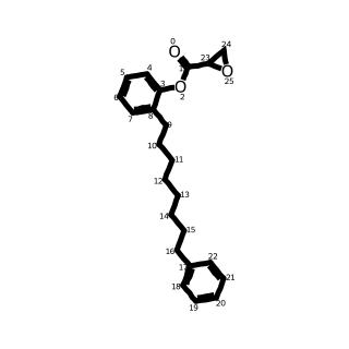 O=C(Oc1ccccc1CCCCCCCCc1ccccc1)C1CO1